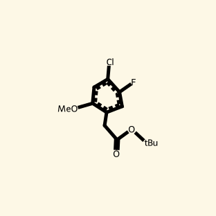 COc1cc(Cl)c(F)cc1CC(=O)OC(C)(C)C